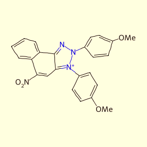 COc1ccc(-n2nc3c4ccccc4c([N+](=O)[O-])cc3[n+]2-c2ccc(OC)cc2)cc1